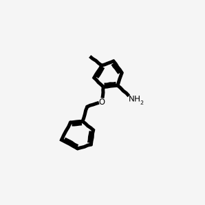 Cc1ccc(N)c(OCc2ccccc2)c1